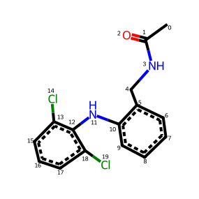 CC(=O)NCc1ccccc1Nc1c(Cl)cccc1Cl